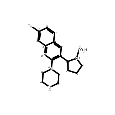 O=C(O)N1CCCC1c1cc2ccc(F)cc2nc1N1CCOCC1